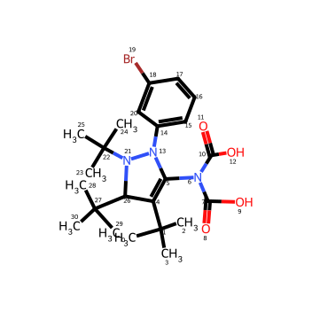 CC(C)(C)C1=C(N(C(=O)O)C(=O)O)N(c2cccc(Br)c2)N(C(C)(C)C)C1C(C)(C)C